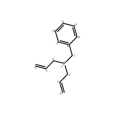 C=CCP(CC=C)Cc1ccccc1